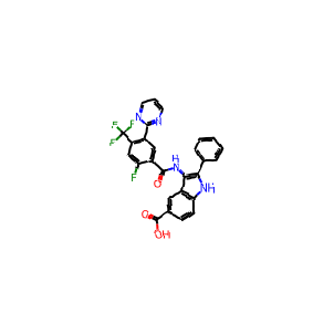 O=C(O)c1ccc2[nH]c(-c3ccccc3)c(NC(=O)c3cc(-c4ncccn4)c(C(F)(F)F)cc3F)c2c1